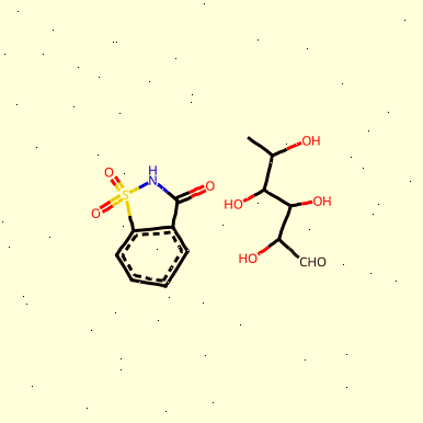 CC(O)C(O)C(O)C(O)C=O.O=C1NS(=O)(=O)c2ccccc21